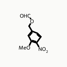 COc1cc(COC=O)ccc1[N+](=O)[O-]